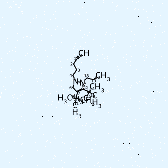 C#CCCCN1CC(C(C)(C)C)=C(C(C)(C)C)N1CCC